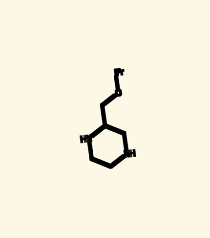 CC(C)OCC1CNCCN1